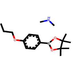 CCCOc1ccc(B2OC(C)(C)C(C)(C)O2)cc1.CNC